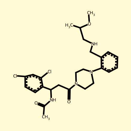 COC(C)CNCc1ccccc1N1CCN(C(=O)CC(NC(C)=O)c2ccc(Cl)cc2Cl)CC1